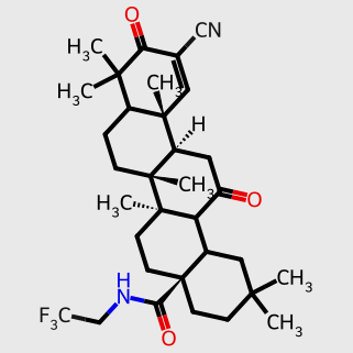 CC1(C)CC[C@]2(C(=O)NCC(F)(F)F)CC[C@]3(C)C(C(=O)C[C@@H]4[C@@]5(C)C=C(C#N)C(=O)C(C)(C)C5CC[C@]43C)C2C1